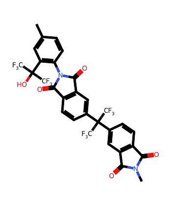 Cc1ccc(N2C(=O)c3ccc(C(c4ccc5c(c4)C(=O)N(C)C5=O)(C(F)(F)F)C(F)(F)F)cc3C2=O)c(C(O)(C(F)(F)F)C(F)(F)F)c1